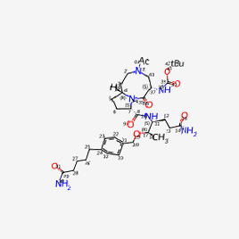 CC(=O)N1CC[C@H]2CC[C@@H](C(=O)N[C@@H](CCC(N)=O)[C@@H](C)OCc3ccc(CCCCC(N)=O)cc3)N2C(=O)[C@@H](NC(=O)OC(C)(C)C)C1